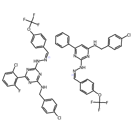 FC(F)(F)Oc1ccc(/C=N\Nc2nc(NCc3ccc(Cl)cc3)cc(-c3ccccc3)n2)cc1.Fc1cccc(Cl)c1-c1nc(NCc2ccc(Cl)cc2)nc(N/N=C\c2ccc(OC(F)(F)F)cc2)n1